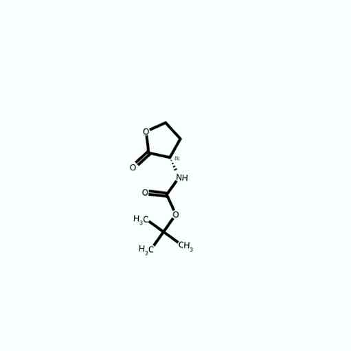 CC(C)(C)OC(=O)N[C@H]1CCOC1=O